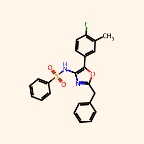 Cc1cc(-c2oc(Cc3ccccc3)nc2NS(=O)(=O)c2ccccc2)ccc1F